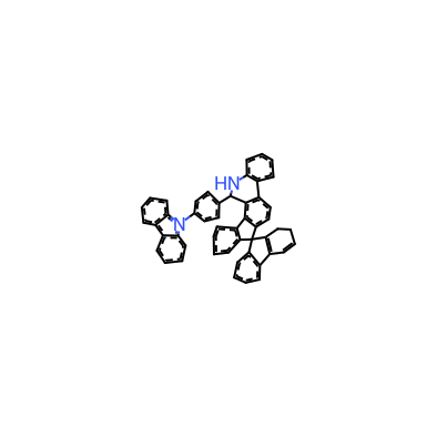 C1=CC2=C(CC1)C1(c3ccccc32)c2ccccc2-c2c1ccc1c2C(c2ccc(-n3c4ccccc4c4ccccc43)cc2)Nc2ccccc2-1